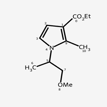 CCOC(=O)c1ccn(C(C)COC)c1C